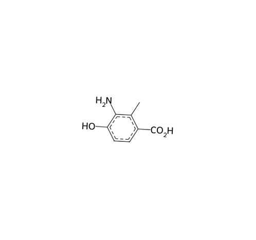 Cc1c(C(=O)O)ccc(O)c1N